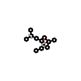 c1ccc(-c2cc(-c3ccccc3)c(-n3c4ccc(-c5ccc(-c6cc(-c7ccccc7)nc(-c7ccccc7)n6)cc5)cc4n4c5cc(-c6ccccc6)ccc5nc34)c(-c3ccccc3)c2)cc1